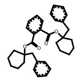 O=C(OC1(Cc2ccccc2)CCCCC1)c1ccccc1C(=O)OC1(Cc2ccccc2)CCCCC1